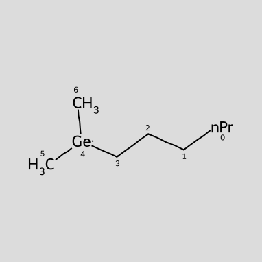 CCCCC[CH2][Ge]([CH3])[CH3]